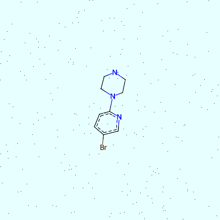 Brc1ccc(N2CC[N]CC2)nc1